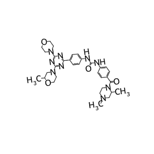 CC1CN(c2nc(-c3ccc(NC(=O)Nc4ccc(C(=O)N5CCN(C)CC5C)cc4)cc3)nc(N3CCOCC3)n2)CCO1